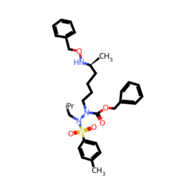 Cc1ccc(S(=O)(=O)N(CC(C)C)N(CCCC[C@H](C)NOCc2ccccc2)C(=O)OCc2ccccc2)cc1